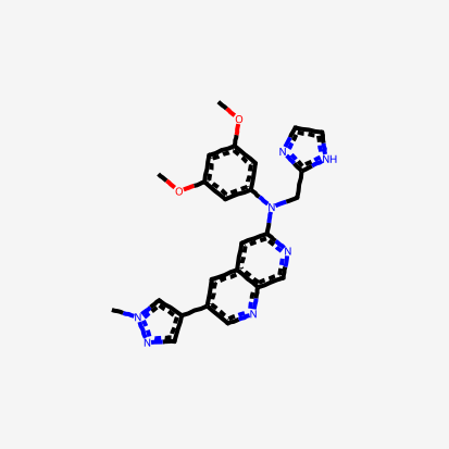 COc1cc(OC)cc(N(Cc2ncc[nH]2)c2cc3cc(-c4cnn(C)c4)cnc3cn2)c1